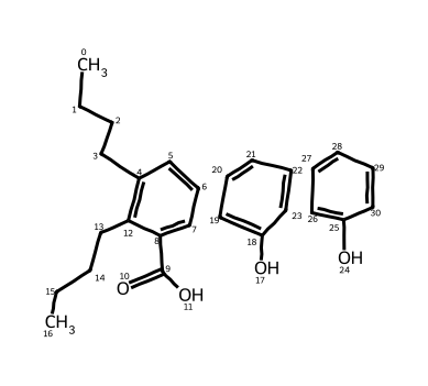 CCCCc1cccc(C(=O)O)c1CCCC.Oc1ccccc1.Oc1ccccc1